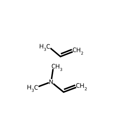 C=CC.C=CN(C)C